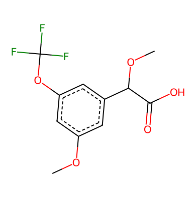 COc1cc(OC(F)(F)F)cc(C(OC)C(=O)O)c1